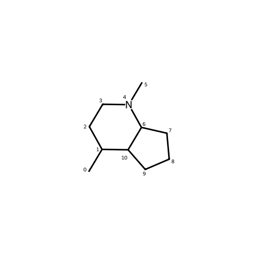 CC1CCN(C)C2CCCC12